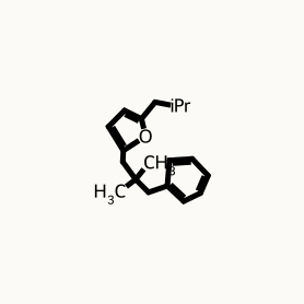 CC(C)Cc1ccc(CC(C)(C)Cc2ccccc2)o1